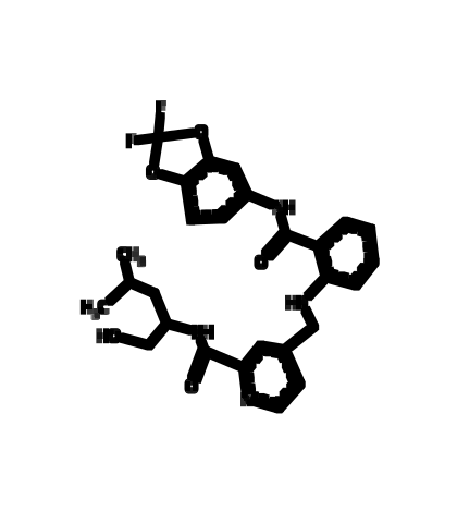 CC(C)CC(CO)NC(=O)c1cc(CNc2ccccc2C(=O)Nc2ccc3c(c2)OC(F)(F)O3)ccn1